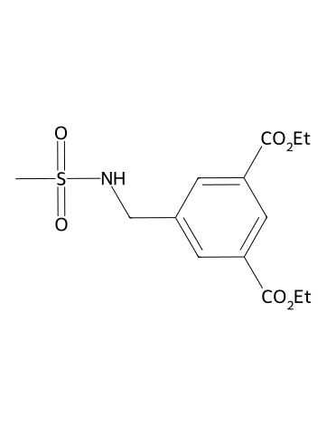 CCOC(=O)c1cc(CNS(C)(=O)=O)cc(C(=O)OCC)c1